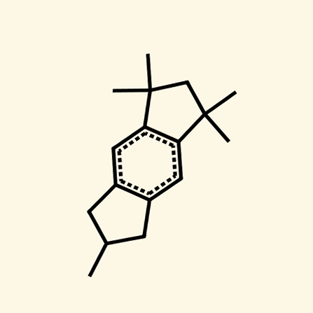 CC1Cc2cc3c(cc2C1)C(C)(C)CC3(C)C